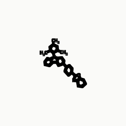 Cc1cc(C)c(-n2c3ccccc3c3cc(-c4ccc(-c5nc6ccccc6o5)cc4)ccc32)c(C)c1